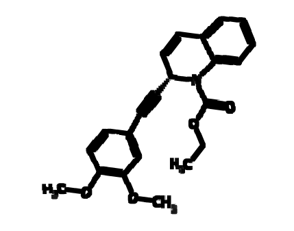 CCOC(=O)N1c2ccccc2C=C[C@H]1C#Cc1ccc(OC)c(OC)c1